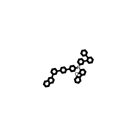 c1ccc(-c2ccccc2-c2cccc(N(c3ccc(-c4ccc(-c5cccc(-c6ccc7ccccc7c6)c5)cc4)cc3)c3cccc4c3oc3ccccc34)c2)cc1